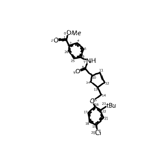 COC(=O)c1ccc(NC(=O)C2CCC(COc3ccc(Cl)cc3C(C)(C)C)C2)cc1